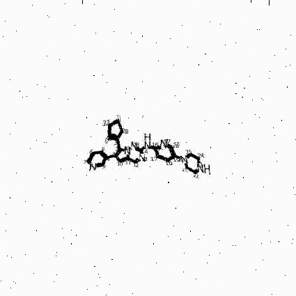 C1=C(c2c(-c3cccnc3)cc3cnc(Nc4ccc(N5CCNCC5)cn4)nn23)CCC1